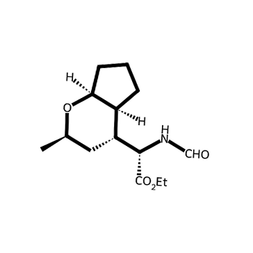 CCOC(=O)[C@@H](NC=O)[C@@H]1C[C@@H](C)O[C@H]2CCC[C@@H]12